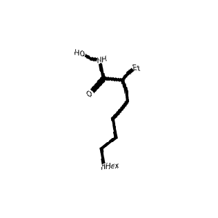 CCCCCCCCCCC(CC)C(=O)NO